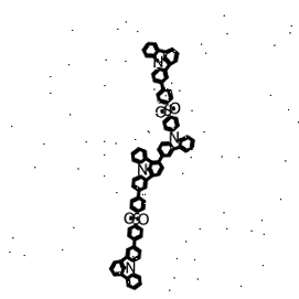 O=S(=O)(c1ccc(-c2ccc3c(c2)c2cccc4c5ccccc5n3c42)cc1)c1ccc(-c2ccc3c(c2)c2ccc(-c4ccc5c(c4)c4ccccc4n5-c4ccc(S(=O)(=O)c5ccc(-c6ccc7c(c6)c6cccc8c9ccccc9n7c86)cc5)cc4)c4c5ccccc5n3c24)cc1